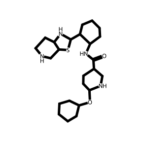 O=C(NC1CCCCC1C1NC2CCNCC2S1)C1CCC(OC2CCCCC2)NC1